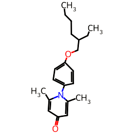 CCCCC(CC)COc1ccc(-n2c(C)cc(=O)cc2C)cc1